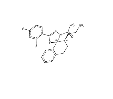 CC(=O)N1N=C(c2ccc(F)cc2F)S[C@@]12c1ccccc1CC[C@@H]2CCN